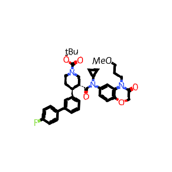 COCCCN1C(=O)COc2ccc(N(C(=O)[C@H]3CN(C(=O)OC(C)(C)C)CC[C@@H]3c3cccc(-c4ccc(F)cc4)c3)C3CC3)cc21